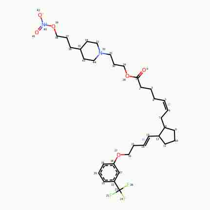 O=C(CCC/C=C\CC1CCCC1/C=C/CCOc1cccc(C(F)(F)F)c1)OCCCN1CCC(CCCO[N+](=O)[O-])CC1